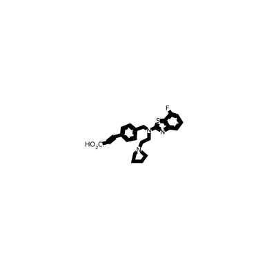 O=C(O)C#Cc1ccc(CN(CCN2CCCC2)c2nc3cccc(F)c3s2)cc1